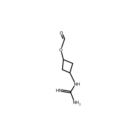 N=C(N)NC1CC(OC=O)C1